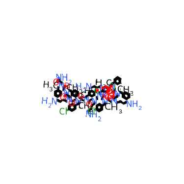 C[C@H](c1ccc(Cl)cc1)N(CCN(CCCCN)CC(=O)N(CC(=O)N(CC(=O)N(CCCCN)CC(=O)N(CC(=O)N(CC(N)=O)[C@H](C)c1ccccc1)[C@H](C)c1ccccc1)[C@H](C)c1ccc(Cl)cc1)[C@H](C)c1ccc(Cl)cc1)C(=O)CN(C(=O)CN(CCCCN)C(=O)CN(C(=O)CN(C(=O)CNCCCCN)[C@H](C)c1ccccc1)[C@H](C)c1ccccc1)[C@H](C)c1ccc(Cl)cc1